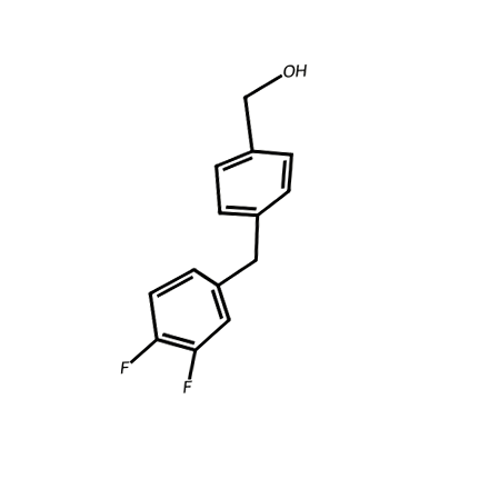 OCc1ccc(Cc2ccc(F)c(F)c2)cc1